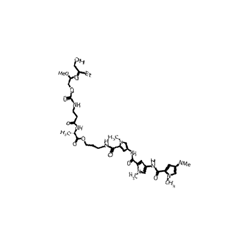 CCC(CO)OC(COC(=O)NCCC(=O)N[C@@H](C)C(=O)OCCCNC(=O)c1cc(NC(=O)c2cc(NC(=O)c3cc(NC)cn3C)cn2C)cn1C)OC